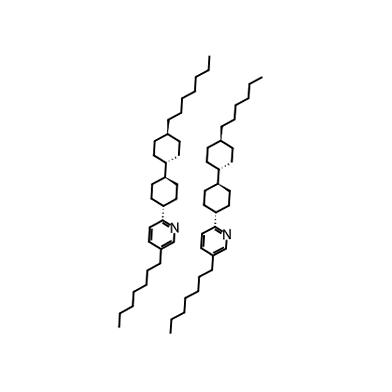 CCCCCCCc1ccc([C@H]2CC[C@H]([C@H]3CC[C@H](CCCCCC)CC3)CC2)nc1.CCCCCCCc1ccc([C@H]2CC[C@H]([C@H]3CC[C@H](CCCCCCC)CC3)CC2)nc1